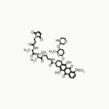 COc1cccc2c1C(=O)c1c(O)c3c(c(O)c1C2=O)C[C@@H](C(=O)NCCN(C)C(=O)[C@H](C)NC(=O)[C@H](C)NC(=O)CCN1C(=O)C=CC1=O)C[C@@H]3O[C@H]1CC[C@H](O[C@@H]2COCCN2)[C@H](C)O1